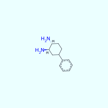 N[C@@H]1CCC(c2ccccc2)C[C@H]1N